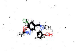 CC(C)c1nc2cc(CN(C)[C@@H]3CCC[C@@H]3O)cc(Cl)c2o1